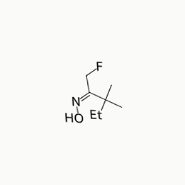 CCC(C)(C)/C(CF)=N\O